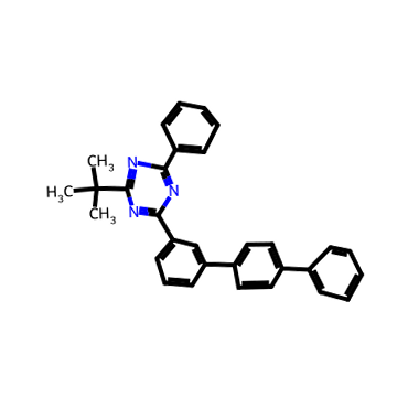 CC(C)(C)c1nc(-c2ccccc2)nc(-c2cccc(-c3ccc(-c4ccccc4)cc3)c2)n1